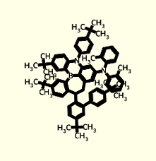 Cc1ccccc1N(c1cc2c3c(c1)N(c1ccc(C(C)(C)C)cc1)c1ccc(C(C)(C)C)cc1B3c1cc(C(C)(C)C)ccc1C(c1ccc(C(C)(C)C)cc1-c1ccc(C(C)(C)C)cc1)C2)c1ccccc1C